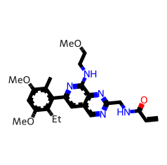 C=CC(=O)NCc1ncc2cc(-c3c(C)c(OC)cc(OC)c3CC)nc(NCCOC)c2n1